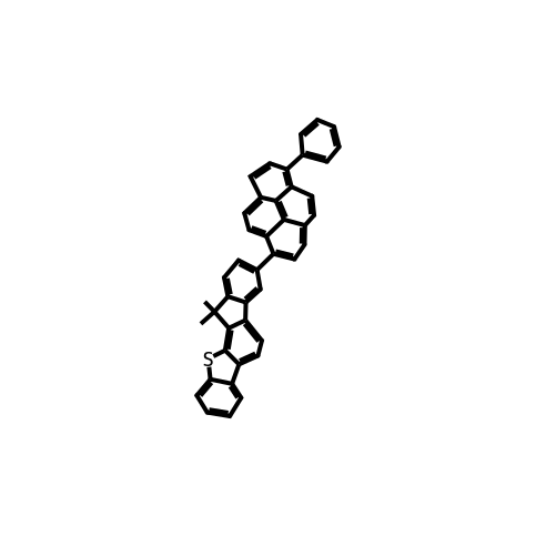 CC1(C)c2ccc(-c3ccc4ccc5c(-c6ccccc6)ccc6ccc3c4c65)cc2-c2ccc3c(sc4ccccc43)c21